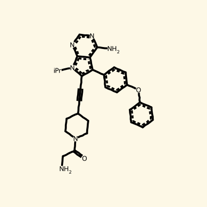 CC(C)n1c(C#CC2CCN(C(=O)CN)CC2)c(-c2ccc(Oc3ccccc3)cc2)c2c(N)ncnc21